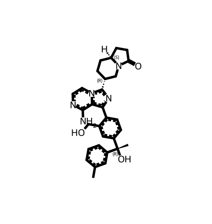 Cc1cccc([C@@](C)(O)c2ccc(-c3nc([C@@H]4CC[C@H]5CCC(=O)N5C4)n4ccnc(N)c34)c(CO)c2)c1